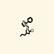 CCCC1CC(=O)N(Cn2ccnc2-c2ccccc2)C1